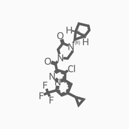 O=C(c1nn2c(C(F)(F)F)cc(C3CC3)cc2c1Cl)N1CCN([C@H]2[C@@H]3CCC[C@@H]32)C(=O)C1